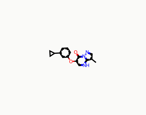 Cc1cnn2c(=O)c(Oc3cccc(C4CC4)c3)c[nH]c12